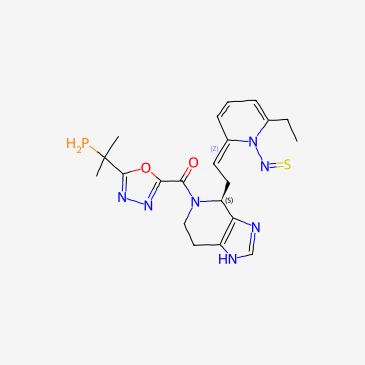 CCC1=CC=C/C(=C/C[C@H]2c3nc[nH]c3CCN2C(=O)c2nnc(C(C)(C)P)o2)N1N=S